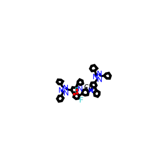 Fc1cccc(F)c1-c1ccc(-n2c3ccccc3c3cc(-c4nc(-c5ccccc5)nc(-c5ccccc5)n4)ccc32)c(C(F)(F)F)c1-n1c2ccccc2c2cc(-c3nc(-c4ccccc4)nc(-c4ccccc4)n3)ccc21